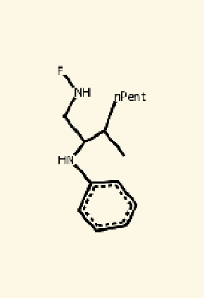 CCCCCC(C)C(CNF)Nc1ccccc1